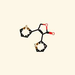 O=C1OCC(c2cccs2)=C1c1cccs1